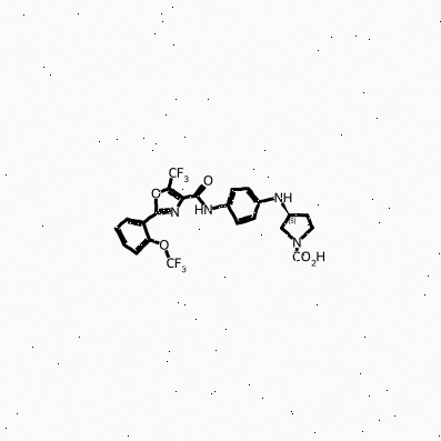 O=C(Nc1ccc(N[C@H]2CCN(C(=O)O)C2)cc1)c1nc(-c2ccccc2OC(F)(F)F)oc1C(F)(F)F